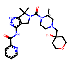 C[C@H]1CN(CC2(O)CCOCC2)CCN1C(=O)N1Cc2c(NC(=O)c3ccccn3)n[nH]c2C1(C)C